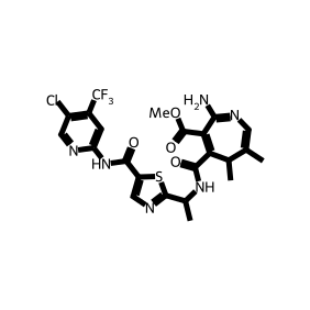 COC(=O)C1=C(C(=O)NC(C)c2ncc(C(=O)Nc3cc(C(F)(F)F)c(Cl)cn3)s2)C(C)C(C)=CN=C1N